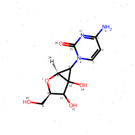 Nc1ccn(C2[C@@H]3O[C@H](CO)C(O)C23O)c(=O)n1